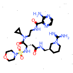 N=C(N)N1CCC[C@@H](CNC(=O)C[C@H](NS(=O)(=O)N2CCOCC2)C(=O)N(CCNC(=O)c2nccnc2N)C2CC2)C1